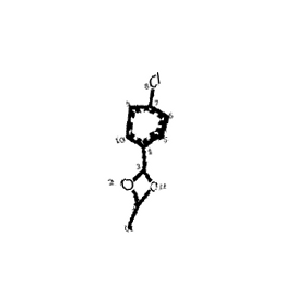 CC1OC(c2ccc(Cl)cc2)O1